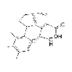 Cc1ccc(C2CCc3ccc(C(=O)O)c(C(=O)O)c32)c(C)c1C